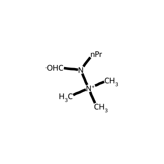 CCCN([C]=O)[N+](C)(C)C